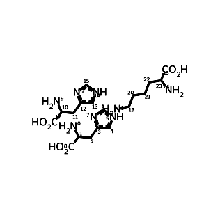 NC(Cc1c[nH]cn1)C(=O)O.NC(Cc1c[nH]cn1)C(=O)O.NCCCCC(N)C(=O)O